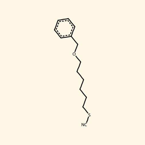 N#CSCCCCCCOCc1ccccc1